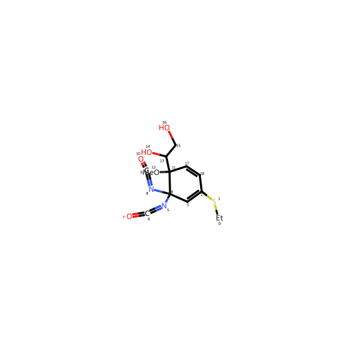 CCSC1=CC(N=C=O)(N=C=O)C(OC)(C(O)CO)C=C1